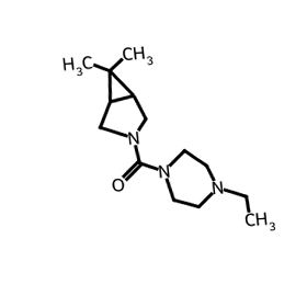 CCN1CCN(C(=O)N2CC3C(C2)C3(C)C)CC1